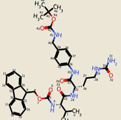 CC(C)[C@H](NC(=O)OCC1c2ccccc2-c2ccccc21)C(=O)N[C@@H](CCCNC(N)=O)C(=O)Nc1ccc(CNC(=O)OC(C)(C)C)cc1